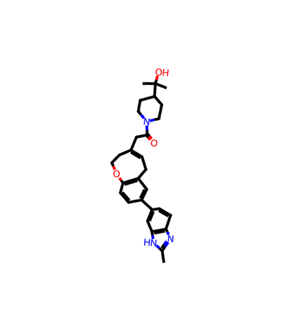 Cc1nc2ccc(-c3ccc4c(c3)C/C=C(/CC(=O)N3CCC(C(C)(C)O)CC3)CCO4)cc2[nH]1